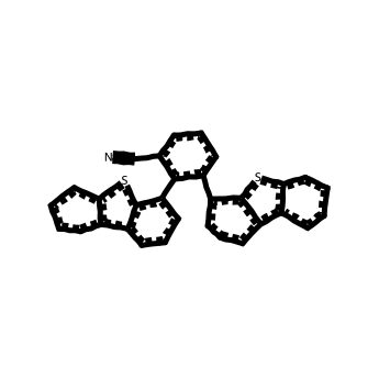 N#Cc1cccc(-c2cccc3c2sc2ccccc23)c1-c1cccc2c1sc1ccccc12